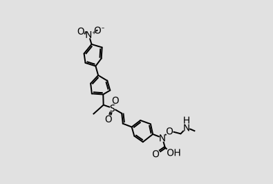 CNCON(C(=O)O)c1ccc(C=CS(=O)(=O)C(C)c2ccc(-c3ccc([N+](=O)[O-])cc3)cc2)cc1